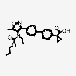 CCCOC(=O)N(CC)c1c(-c2ccc(-c3ccc(C4(C(=O)O)CC4)cc3)cc2)noc1C